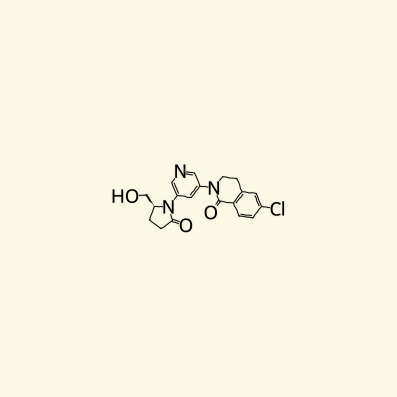 O=C1c2ccc(Cl)cc2CCN1c1cncc(N2C(=O)CC[C@H]2CO)c1